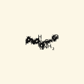 Nc1ncnc(Nc2ccc3c(cnn3Cc3cccc(F)c3)c2)c1C=NOCCCN1CCOCC1